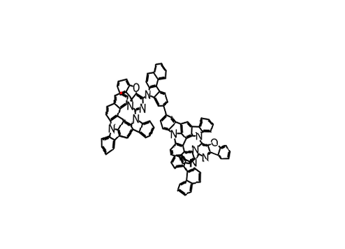 c1ccc2c(c1)ccc1c2c2ccccc2n1-c1nc(-n2c3ccccc3c3cc4c5cc(-c6ccc7c8c9ccccc9ccc8n(-c8nc(-n9c%10ccccc%10c%10cc%11c%12ccccc%12n%12c%13ccc%14ccccc%14c%13c(c%109)c%11%12)nc9c8oc8ccccc89)c7c6)ccc5n5c6ccc7ccccc7c6c(c32)c45)c2oc3ccccc3c2n1